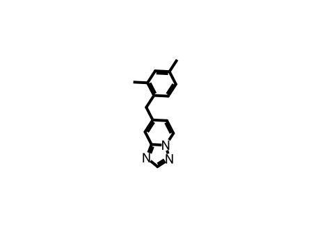 Cc1ccc(Cc2ccn3ncnc3c2)c(C)c1